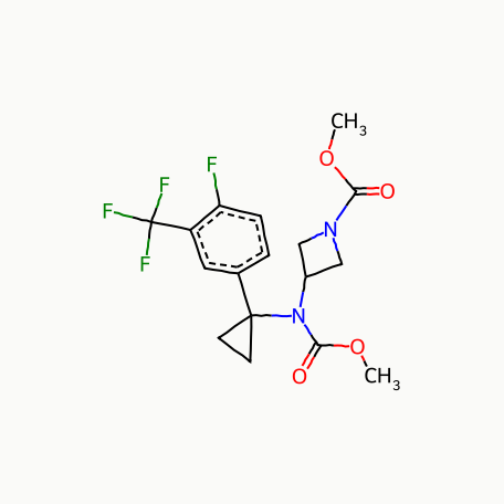 COC(=O)N1CC(N(C(=O)OC)C2(c3ccc(F)c(C(F)(F)F)c3)CC2)C1